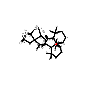 CC1=CCCC(C)(C)C1C(=O)CC(C)C(CC(=O)O)(C(=O)O)C(C)CC(=O)C1C(C)=CCCC1(C)C